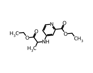 CCOC(=O)c1cc(NC(C)C(=O)OCC)ccn1